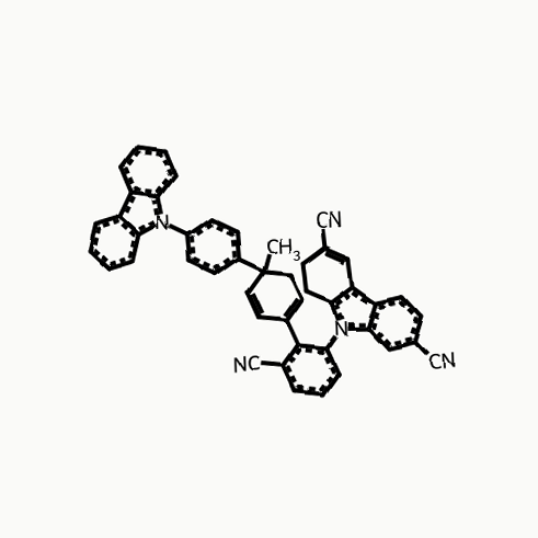 CC1(c2ccc(-n3c4ccccc4c4ccccc43)cc2)C=CC(c2c(C#N)cccc2-n2c3c(c4ccc(C#N)cc42)C=C(C#N)CC3)=CC1